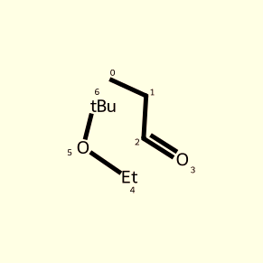 CCC=O.CCOC(C)(C)C